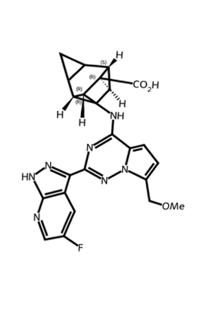 COCc1ccc2c(N[C@H]3[C@H](C(=O)O)[C@H]4CC[C@@H]3C3CC34)nc(-c3n[nH]c4ncc(F)cc34)nn12